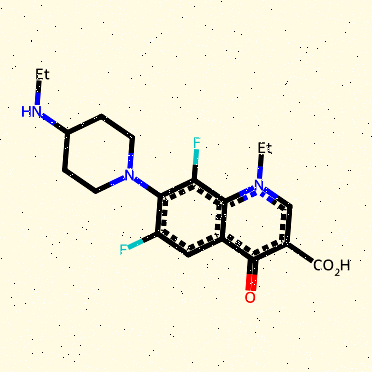 CCNC1CCN(c2c(F)cc3c(=O)c(C(=O)O)cn(CC)c3c2F)CC1